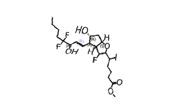 CCCCC(F)(F)[C@H](O)/C=C/[C@@H]1[C@H]2C(F)C(C(I)CCCC(=O)OC)O[C@H]2C[C@H]1O